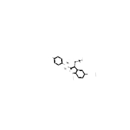 Cc1ccc(S(=O)(=O)c2[nH]c3ccc(C)cc3c2C(=O)C(F)(F)F)cc1